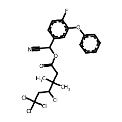 CC(C)(CC(=O)OC(C#N)c1ccc(F)c(Oc2ccccc2)c1)C(Cl)CC(Cl)(Cl)Cl